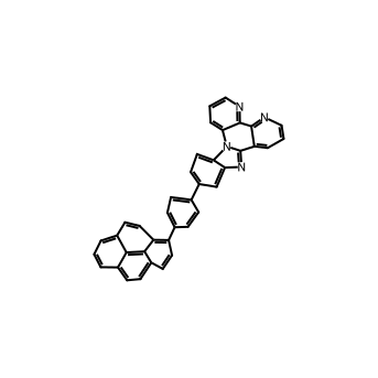 c1cc2ccc3ccc(-c4ccc(-c5ccc6c(c5)nc5c7cccnc7c7ncccc7n65)cc4)c4ccc(c1)c2c34